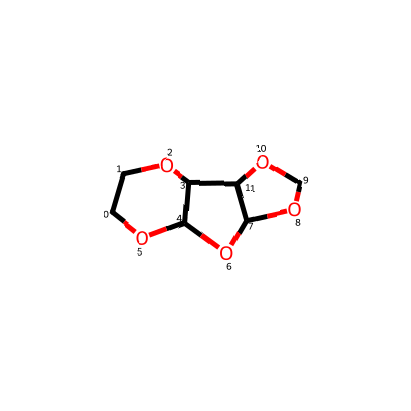 C1COC2C(O1)OC1OCOC12